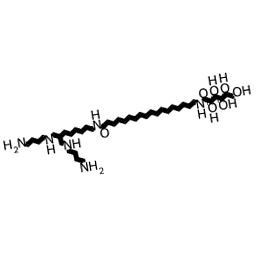 NCCCCNCC(CCCCCCNC(=O)CCCCCCCCCCCCCCCCCNC(=O)[C@@H](O)[C@H](O)[C@@H](O)[C@H](O)CO)CNCCCCN